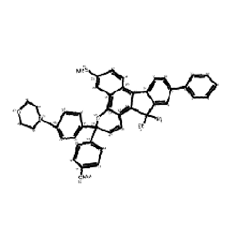 CCC1(CC)c2cc(-c3ccccc3)ccc2-c2c1c1c(c3cc(SC)ccc23)OC(c2ccc(OC)cc2)(c2ccc(N3CCOCC3)cc2)C=C1